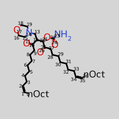 CCCCCCCC/C=C\CCCCCCCC(=O)C(CN1CCOCC1)C(OC(N)=O)C(=O)CCCCCCC/C=C\CCCCCCCC